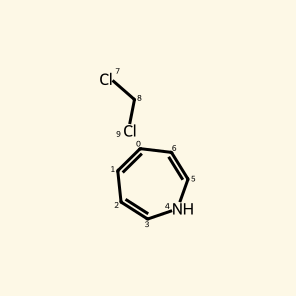 C1=CC=CNC=C1.ClCCl